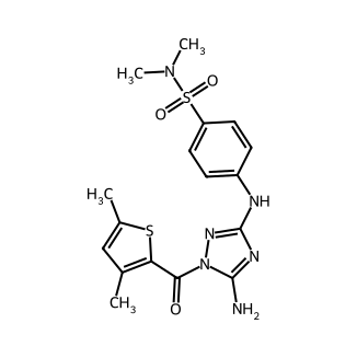 Cc1cc(C)c(C(=O)n2nc(Nc3ccc(S(=O)(=O)N(C)C)cc3)nc2N)s1